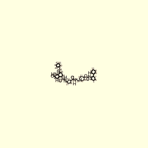 O=C(Nc1ccccc1-c1ccccc1)OC1CCN(CCNC(=O)C2CCC(NCC(O)c3ccc(OCc4ccccc4)c4[nH]c(=O)ccc34)C2)CC1